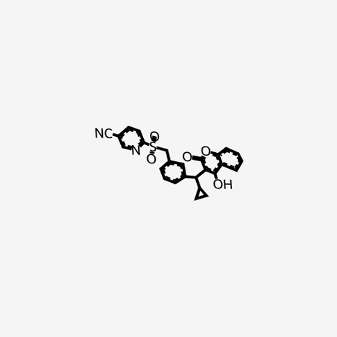 N#Cc1ccc(S(=O)(=O)Cc2cccc(C(c3c(O)c4ccccc4oc3=O)C3CC3)c2)nc1